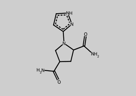 NC(=O)C1CC(C(N)=O)N(c2cc[nH]n2)C1